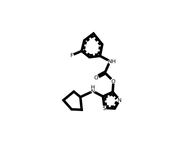 O=C(Nc1cccc(F)c1)Oc1ncsc1NC1CCCC1